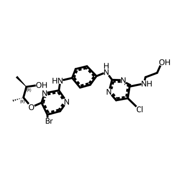 C[C@@H](O)[C@@H](C)Oc1nc(Nc2ccc(Nc3ncc(Cl)c(NCCO)n3)cc2)ncc1Br